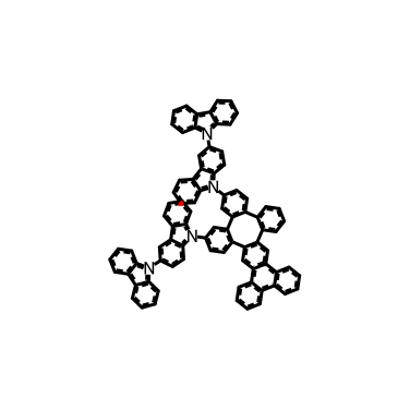 c1ccc2c(c1)-c1ccc(-n3c4ccccc4c4cc(-n5c6ccccc6c6ccccc65)ccc43)cc1-c1cc(-n3c4ccccc4c4cc(-n5c6ccccc6c6ccccc65)ccc43)ccc1-c1cc3c4ccccc4c4ccccc4c3cc1-2